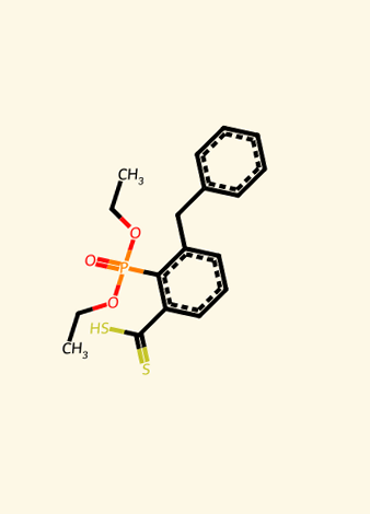 CCOP(=O)(OCC)c1c(Cc2ccccc2)cccc1C(=S)S